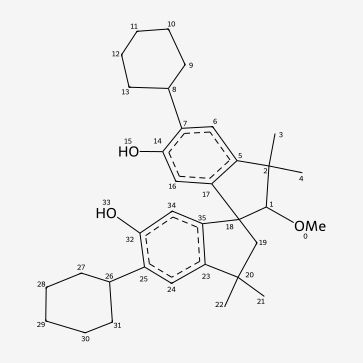 COC1C(C)(C)c2cc(C3CCCCC3)c(O)cc2C12CC(C)(C)c1cc(C3CCCCC3)c(O)cc12